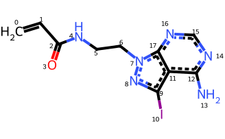 C=CC(=O)NCCn1nc(I)c2c(N)ncnc21